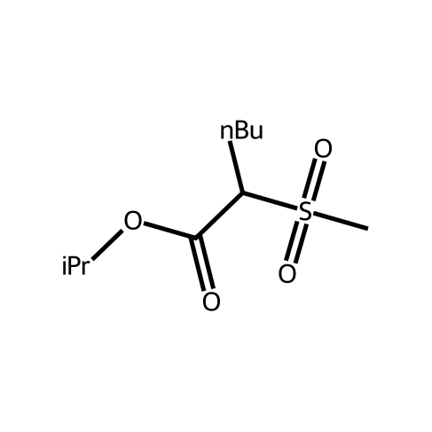 CCCCC(C(=O)OC(C)C)S(C)(=O)=O